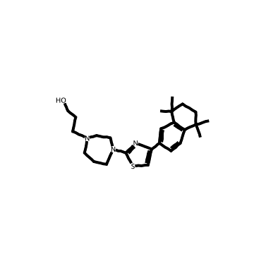 CC1(C)CCC(C)(C)c2cc(-c3csc(N4CCCN(CCCO)CC4)n3)ccc21